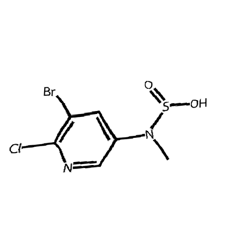 CN(c1cnc(Cl)c(Br)c1)S(=O)O